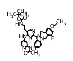 CCOc1cc(F)c(Cn2nc(-c3ncc(CCNC(=O)OC(C)(C)C)c(Nc4ccnc(NC(C)=O)c4)n3)c3ccccc32)c(F)c1